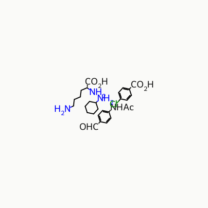 CC(=O)Nc1ccc(C=O)cc1.NC1CCCCC1.NCCCC[C@H](N)C(=O)O.O=C(O)c1ccc(Cl)cc1